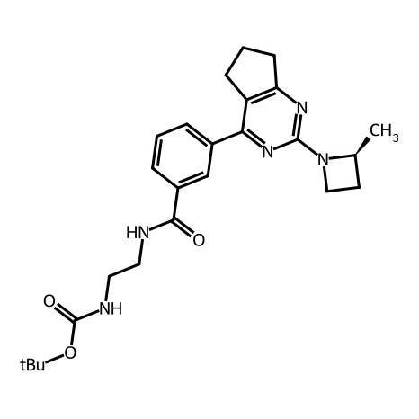 C[C@H]1CCN1c1nc2c(c(-c3cccc(C(=O)NCCNC(=O)OC(C)(C)C)c3)n1)CCC2